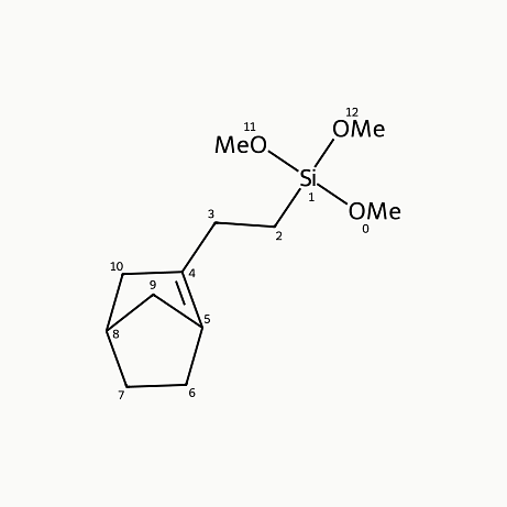 CO[Si](CCC1=C2CCC(C2)C1)(OC)OC